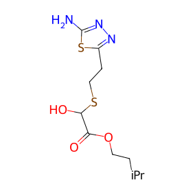 CC(C)CCOC(=O)C(O)SCCc1nnc(N)s1